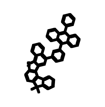 CC1(C)c2ccccc2-c2c1ccc1sc3c4ccccc4c(-c4cccc(-c5c6ccccc6c(-c6ccccc6)c6ccccc56)c4)cc3c21